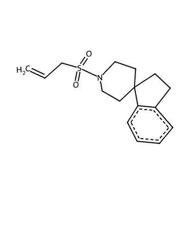 C=CCS(=O)(=O)N1CCC2(CCc3ccccc32)CC1